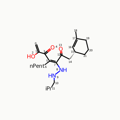 C=C(O)C(=O)/C(CCCCC)=C(/NNCC(C)C)C(=O)C[C@@H]1C=C(C)CCC1